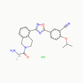 CC(C)Oc1ccc(-c2nc(-c3cccc4c3CCN(C(=O)[C@H](C)N)C4)no2)cc1C#N.Cl